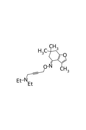 CCN(CC)CC#CCO/N=C1\CC(C)(C)Cc2occ(C)c21